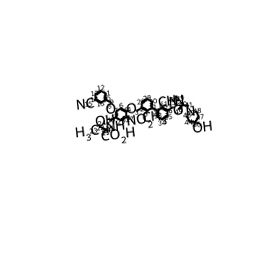 Cc1c(COc2cc(OCc3cccc(C#N)c3)c(CN[C@H](C(=O)O)C(C)O)cc2[N+](=O)[O-])cccc1-c1cccc(-c2nnc(CN3CCC(O)CC3)o2)c1C